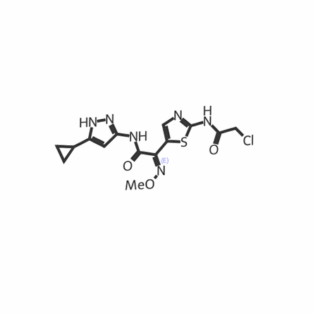 CO/N=C(\C(=O)Nc1cc(C2CC2)[nH]n1)c1cnc(NC(=O)CCl)s1